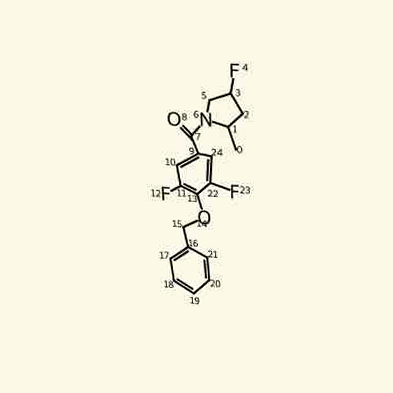 CC1CC(F)CN1C(=O)c1cc(F)c(OCc2ccccc2)c(F)c1